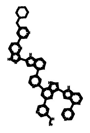 CC(C)Nc1cncc(-c2cc(-c3cc(-c4nccc5[nH]c(-c6n[nH]c7ccc(-c8cncc(CN9CCCCC9)c8)nc67)cc45)ccn3)c3[nH]nc(-c4cc5c(-c6ccncc6)nccc5[nH]4)c3n2)c1